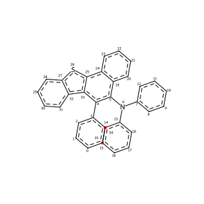 c1ccc(-c2c(N(c3ccccc3)c3ccccc3)c3ccccc3c3sc4ccccc4c23)cc1